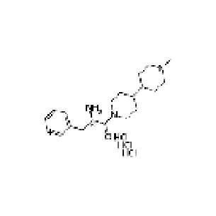 CN1CCC(C2CCN(C(=O)[C@H](N)Cc3cccnc3)CC2)CC1.Cl.Cl.Cl